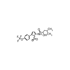 CC(C)CC(O)C(=O)NC1=CC=C(c2ccc(OC(F)(F)F)cc2)S1=S(=O)=O